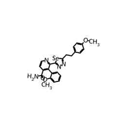 COc1ccc(CCc2nnc(-c3nccc(C(N)=O)c3-c3ccccc3OC)[se]2)cc1